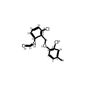 Cc1ccc(OCc2c(Cl)cccc2N=C=O)c(Cl)c1